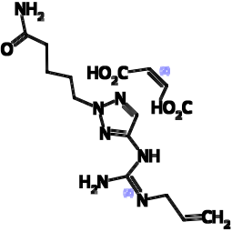 C=CC/N=C(/N)Nc1cnn(CCCCC(N)=O)n1.O=C(O)/C=C\C(=O)O